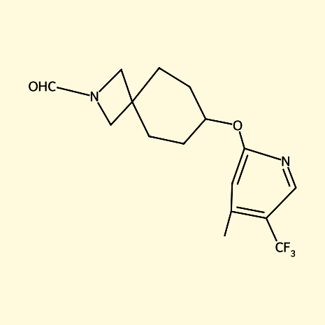 Cc1cc(OC2CCC3(CC2)CN(C=O)C3)ncc1C(F)(F)F